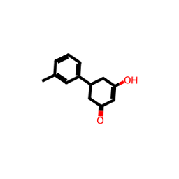 Cc1cccc(C2CC(=O)C=C(O)C2)c1